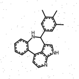 Cc1cc(C2Nc3ccccc3-c3ccnc4[nH]cc2c34)cc(C)c1C